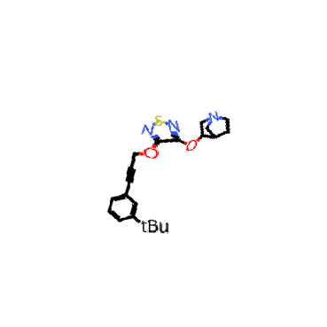 CC(C)(C)c1cccc(C#CCOc2nsnc2OC2CN3CCC2C3)c1